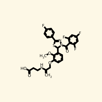 C=C(COc1cccc(C2SC(c3ccc(F)cc3)=NN2C(=O)c2c(F)cc(F)cc2F)c1OC)NCCC(=O)O